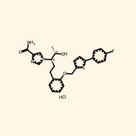 C[C@H](O)[C@@H](CCc1ccccc1OCc1ccc(-c2ccc(F)cc2)s1)n1cnc(C(N)=O)c1.Cl